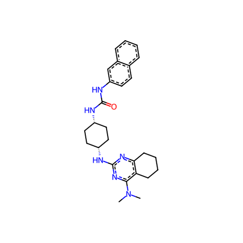 CN(C)c1nc(N[C@H]2CC[C@@H](NC(=O)Nc3ccc4ccccc4c3)CC2)nc2c1CCCC2